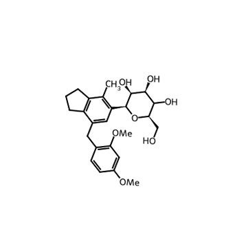 COc1ccc(Cc2cc([C@@H]3O[C@H](CO)C(O)[C@H](O)[C@@H]3O)c(C)c3c2CCC3)c(OC)c1